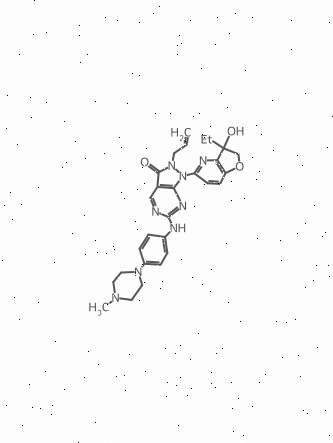 C=CCn1c(=O)c2cnc(Nc3ccc(N4CCN(C)CC4)cc3)nc2n1-c1ccc2c(n1)C(O)(CC)CO2